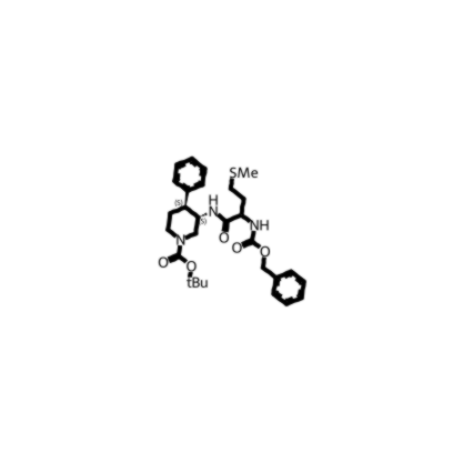 CSCCC(NC(=O)OCc1ccccc1)C(=O)N[C@@H]1CN(C(=O)OC(C)(C)C)CC[C@H]1c1ccccc1